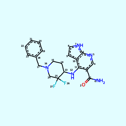 NC(=O)c1cnc2[nH]ccc2c1NC1CCN(Cc2ccccc2)CC1(F)F